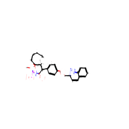 CON(O)C(=O)C(c1ccc(OCc2ccc3ccccc3n2)cc1)C1CCCCCC1